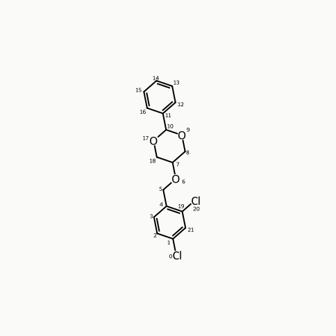 Clc1ccc(COC2COC(c3ccccc3)OC2)c(Cl)c1